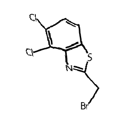 Clc1ccc2sc(CBr)nc2c1Cl